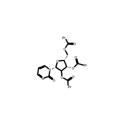 CC(C)C(=O)OC[C@H]1O[C@@H](n2cccnc2=O)C(OC(=O)C(C)C)[C@H]1OC(=O)C(C)C